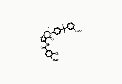 COc1cc(C(F)(F)c2ccc(N3C(=O)c4c(NC(=O)c5ccc(OC)c(C#N)c5)cnn4C[C@@H]3C)cc2)ccn1